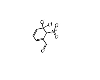 O=[C]C1=CC=CC(Cl)(Cl)C1[N+](=O)[O-]